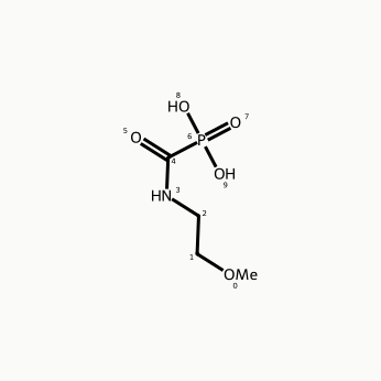 COCCNC(=O)P(=O)(O)O